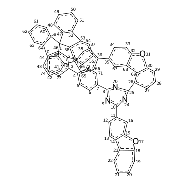 c1ccc(-c2ccc(-c3nc(-c4ccc5c(c4)oc4ccccc45)nc(-c4cccc5oc6ccc(-c7ccc(-c8cccc9c8C8(c%10ccccc%10-c%10ccccc%108)c8ccccc8-9)cc7)cc6c45)n3)cc2)cc1